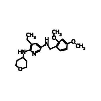 CCc1cc(NCc2ccc(OC)cc2OC)cnc1NC1CCOCC1